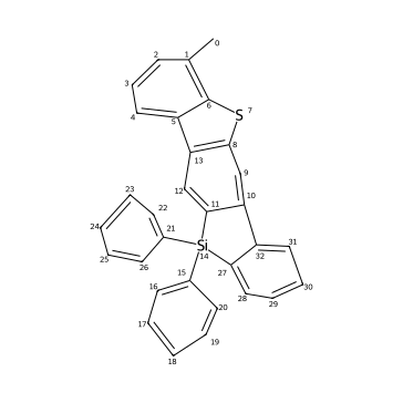 Cc1cccc2c1sc1cc3c(cc12)[Si](c1ccccc1)(c1ccccc1)c1ccccc1-3